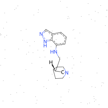 c1cc(NC[C@@H]2CN3CCC2CC3)c2[nH]ncc2c1